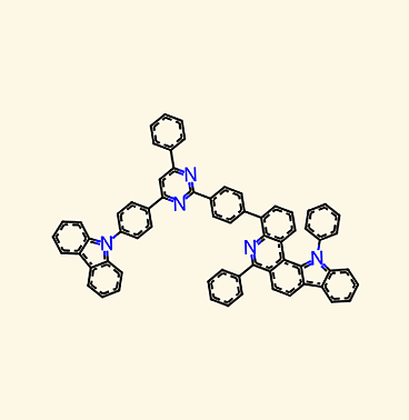 c1ccc(-c2cc(-c3ccc(-n4c5ccccc5c5ccccc54)cc3)nc(-c3ccc(-c4cccc5c4nc(-c4ccccc4)c4ccc6c7ccccc7n(-c7ccccc7)c6c45)cc3)n2)cc1